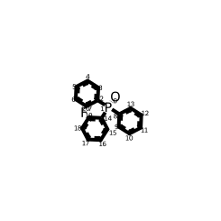 O=P(c1ccccc1)(c1ccccc1)c1ccccc1F